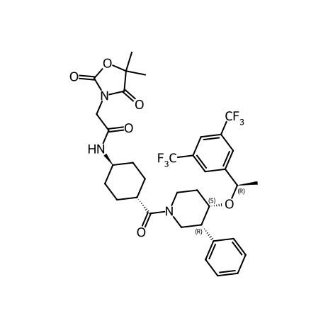 C[C@@H](O[C@H]1CCN(C(=O)[C@H]2CC[C@H](NC(=O)CN3C(=O)OC(C)(C)C3=O)CC2)C[C@H]1c1ccccc1)c1cc(C(F)(F)F)cc(C(F)(F)F)c1